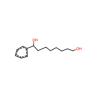 OCCCCCCCC(O)c1ccccc1